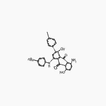 CCCCc1ccc(Nc2cc(-c3ccc(C)cc3)c(O)c3c2C(=O)c2c(O)ccc(N)c2C3=O)cc1